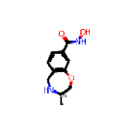 C[C@@H]1COc2cc(C(=O)NO)ccc2CN1